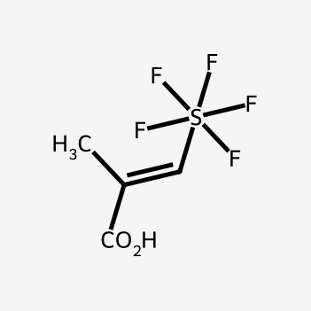 C/C(=C\S(F)(F)(F)(F)F)C(=O)O